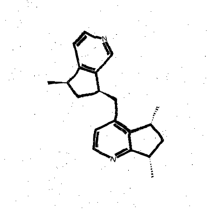 C[C@@H]1C[C@H](Cc2ccnc3c2[C@H](C)C[C@@H]3C)c2cnccc21